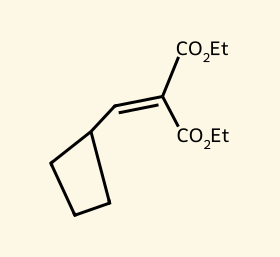 CCOC(=O)C(=CC1CCC1)C(=O)OCC